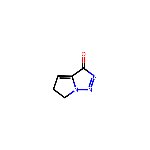 O=C1N=NN2CCC=C12